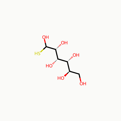 OC[C@@H](O)[C@@H](O)[C@H](O)[C@@H](O)C(O)S